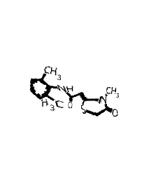 Cc1cccc(C)c1NC(=O)/C=C1\SCC(=O)N1C